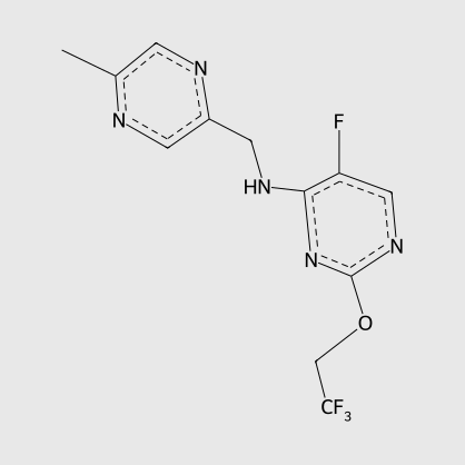 Cc1cnc(CNc2nc(OCC(F)(F)F)ncc2F)cn1